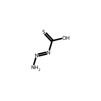 NN=NC(O)=S